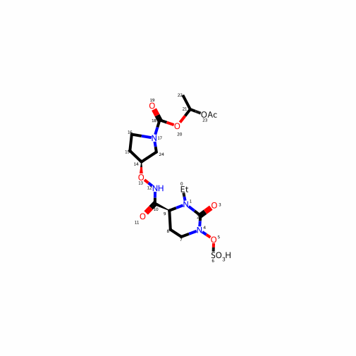 CCN1C(=O)N(OS(=O)(=O)O)CC[C@H]1C(=O)NO[C@H]1CCN(C(=O)OC(C)OC(C)=O)C1